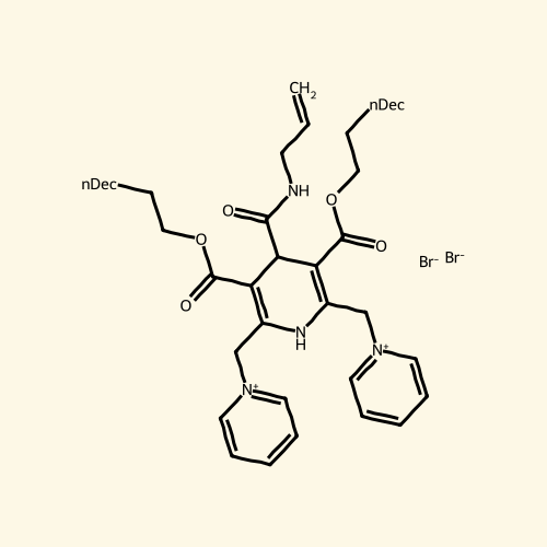 C=CCNC(=O)C1C(C(=O)OCCCCCCCCCCCC)=C(C[n+]2ccccc2)NC(C[n+]2ccccc2)=C1C(=O)OCCCCCCCCCCCC.[Br-].[Br-]